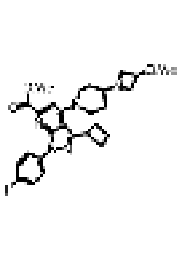 COC(=O)c1cc(N2CCC(N3CC(OC)C3)CC2)c2c(C3CCC3)nn(-c3ccc(F)cc3)c2n1